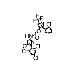 O=C(COc1cc(C(F)(F)F)nn1-c1ccccc1Cl)NC1=NN(c2c(Cl)cc(Cl)cc2Cl)C(=O)C1